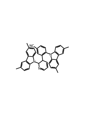 Cc1ccc2c(c1)c1cc(C)ccc1n2-c1ccc(C#N)cc1C1C=CC=NC1n1c2ccc(C)cc2c2cc(C)ccc21